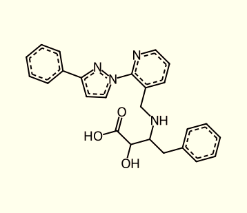 O=C(O)C(O)C(Cc1ccccc1)NCc1cccnc1-n1ccc(-c2ccccc2)n1